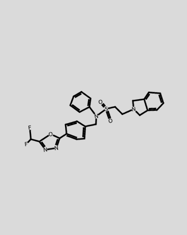 O=S(=O)(CCN1Cc2ccccc2C1)N(Cc1ccc(-c2nnc(C(F)F)o2)cc1)c1ccccc1